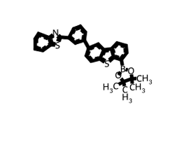 CC1(C)OB(c2cccc3c2sc2ccc(-c4cccc(-c5nc6ccccc6s5)c4)cc23)OC1(C)C